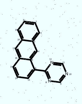 c1ccc2cc3c(-c4ncncn4)cccc3cc2c1